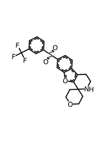 O=S(=O)(c1cccc(C(F)(F)F)c1)c1ccc2c3c(oc2c1)C1(CCOCC1)NCC3